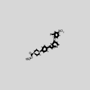 CC(C)(C)OC(=O)N1CCN(c2ccc(-c3cc4nccc(Oc5ccc([N+](=O)[O-])cc5F)c4s3)cc2)CC1